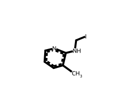 Cc1cccnc1NCI